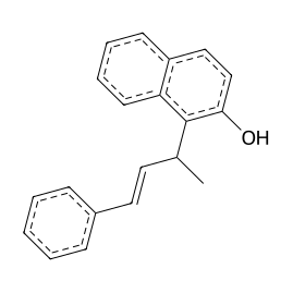 CC(C=Cc1ccccc1)c1c(O)ccc2ccccc12